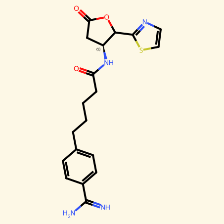 N=C(N)c1ccc(CCCCC(=O)N[C@H]2CC(=O)OC2c2nccs2)cc1